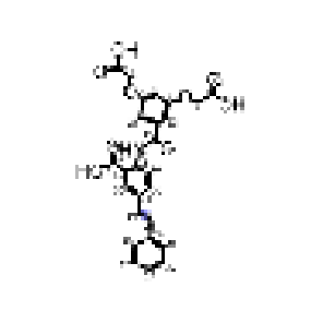 O=C(O)COc1cc(OCC(=O)O)cc(C(=O)Nc2ccc(/C=C/c3ccccc3)cc2C(=O)O)c1